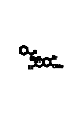 CCC(Cc1cc(OC)c(Br)cc1OC)NOC(=O)c1ccccc1